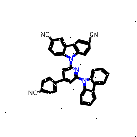 N#Cc1ccc(-c2cc(-n3c4ccccc4c4ccccc43)nc(-n3c4ccc(C#N)cc4c4cc(C#N)ccc43)c2)cc1